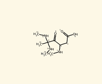 CNC(CC(=O)O)C(=O)C(C)(NC)NC